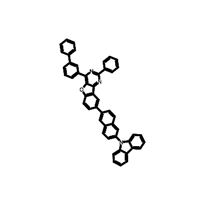 c1ccc(-c2cccc(-c3nc(-c4ccccc4)nc4c3oc3ccc(-c5ccc6cc(-n7c8ccccc8c8ccccc87)ccc6c5)cc34)c2)cc1